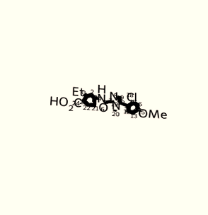 CCc1cc(NC(=O)c2ncc(-c3ccc(OC)cc3Cl)n2C)ccc1C(=O)O